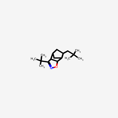 CC(C)(C)CC1CC2CC1C1ON=C(C(C)(C)C)C21